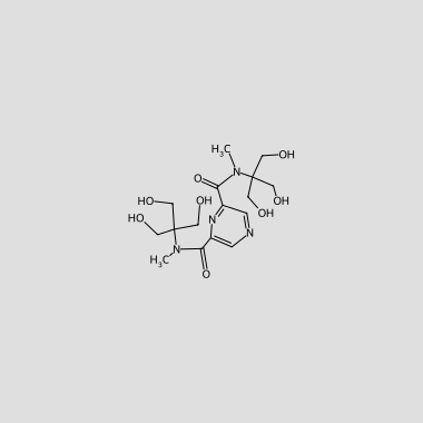 CN(C(=O)c1cncc(C(=O)N(C)C(CO)(CO)CO)n1)C(CO)(CO)CO